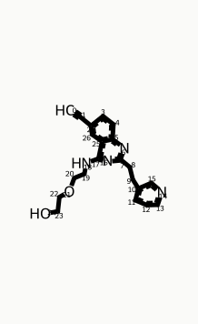 C#Cc1ccc2nc(CCc3cccnc3)nc(NCCOCCO)c2c1